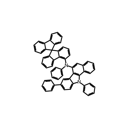 c1ccc(-c2ccc3c(c2)c2c(N(c4ccccc4)c4cccc5c4-c4ccccc4C54c5ccccc5-c5ccccc54)cc4ccccc4c2n3-c2ccccc2)cc1